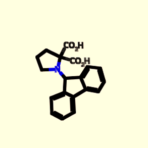 O=C(O)C1(C(=O)O)CCCN1C1c2ccccc2-c2ccccc21